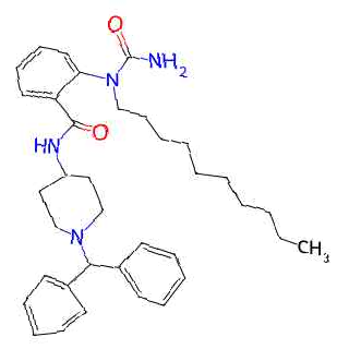 CCCCCCCCCCN(C(N)=O)c1ccccc1C(=O)NC1CCN(C(c2ccccc2)c2ccccc2)CC1